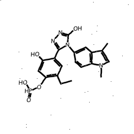 CCc1cc(-c2nnc(O)n2-c2ccc3c(c2)c(C)cn3C)c(O)cc1O[PH](=O)O